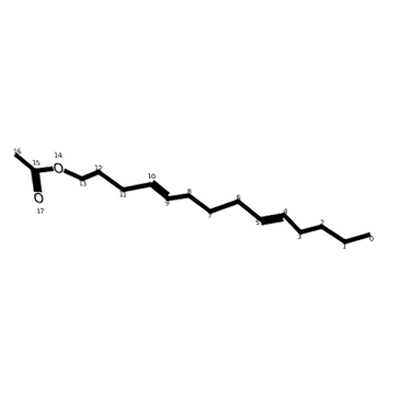 CCCCC=CCCCC=CCCCOC(C)=O